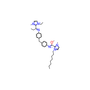 CCCCCCCC[n+]1ccn(C)c1/C(=N/c1ccc(Cc2ccc(/N=C(\CC)c3n(C)cc[n+]3CC)cc2)cc1)OC